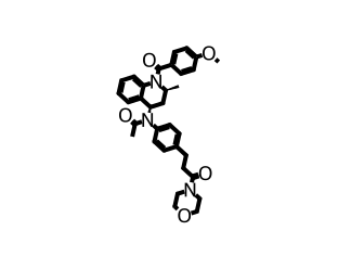 COc1ccc(C(=O)N2c3ccccc3[C@H](N(C(C)=O)c3ccc(CCC(=O)N4CCOCC4)cc3)C[C@@H]2C)cc1